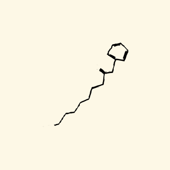 CCCCCCCCCCCCCCCCCC(=O)Cc1ccccc1